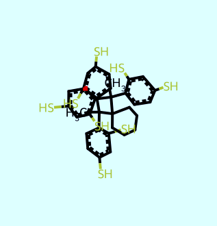 CC(c1ccc(S)cc1S)(c1ccc(S)cc1S)C1(C(C)(c2ccc(S)cc2S)c2ccc(S)cc2S)CCCCC1